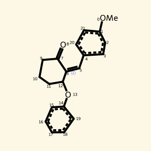 COc1ccc(/C=C2\C(=O)CCCC2Oc2ccccc2)cc1